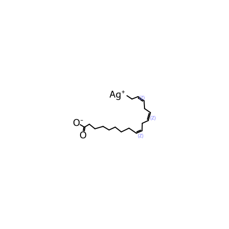 CC/C=C\C/C=C\C/C=C\CCCCCCCC(=O)[O-].[Ag+]